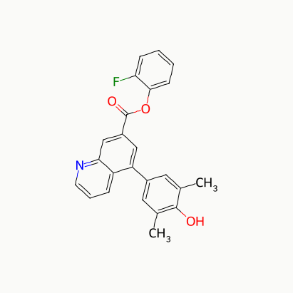 Cc1cc(-c2cc(C(=O)Oc3ccccc3F)cc3ncccc23)cc(C)c1O